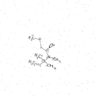 C=CS(C)(C)N(C)C(=O)CCC(F)(F)F